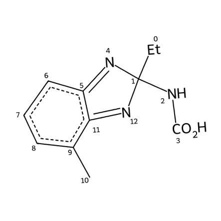 CCC1(NC(=O)O)N=c2cccc(C)c2=N1